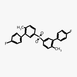 Cc1ccc(S(=O)(=O)c2ccc(C)c(-c3ccc(F)cc3)c2)cc1-c1ccc(F)cc1